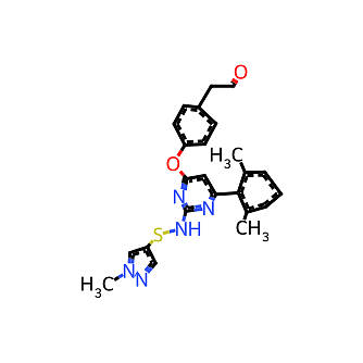 Cc1cccc(C)c1-c1cc(Oc2ccc(CC=O)cc2)nc(NSc2cnn(C)c2)n1